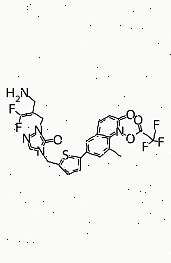 Cc1cc(-c2ccc(Cn3cnn(CC(CN)=C(F)F)c3=O)s2)cc2ccc(=O)n(OC(=O)C(F)(F)F)c12